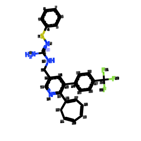 N/C(=N\Sc1ccccc1)NCc1cnc(C2=CC=CC=CC2)c(-c2ccc(C(F)(F)F)cc2)c1